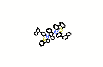 c1ccc2c(-c3ccc(N(c4c5ccccc5c(N(c5ccc(-c6cccc7ccccc67)cc5)c5cccc6c5sc5ccccc56)c5ccccc45)c4cccc5c4sc4ccccc45)cc3)cccc2c1